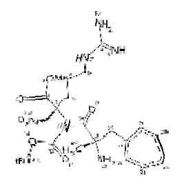 COC(=O)[C@](CCCNC(=N)N)(N(C(=O)OC(C)(C)C)C(=O)[C@@](C)(N)Cc1ccccc1)[N+](=O)[O-]